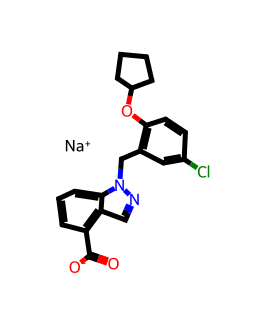 O=C([O-])c1cccc2c1cnn2Cc1cc(Cl)ccc1OC1CCCC1.[Na+]